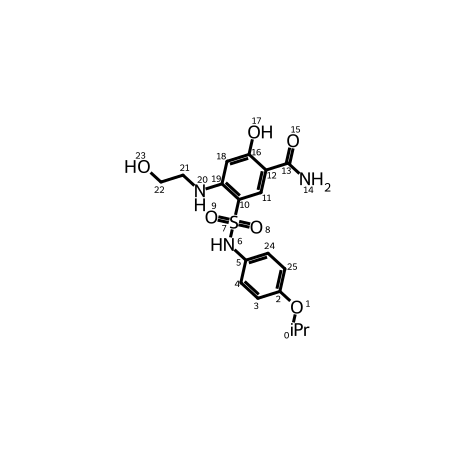 CC(C)Oc1ccc(NS(=O)(=O)c2cc(C(N)=O)c(O)cc2NCCO)cc1